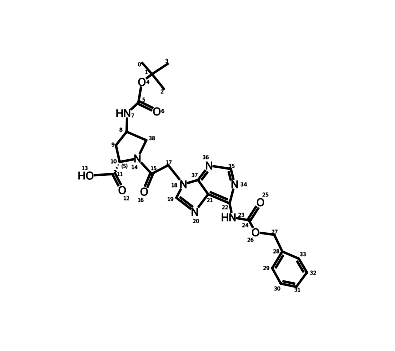 CC(C)(C)OC(=O)NC1C[C@@H](C(=O)O)N(C(=O)Cn2cnc3c(NC(=O)OCc4ccccc4)ncnc32)C1